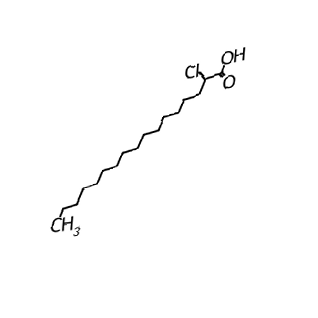 CCCCCCCCCCCCCCCC(Cl)C(=O)O